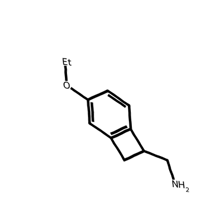 CCOc1ccc2c(c1)CC2CN